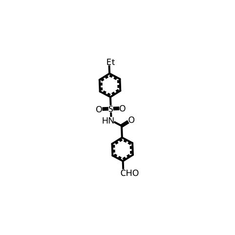 CCc1ccc(S(=O)(=O)NC(=O)c2ccc(C=O)cc2)cc1